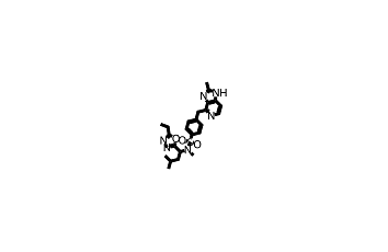 CCc1nnc(C(CC(C)C)N(C)S(=O)(=O)c2ccc(Cc3nccc4[nH]c(C)nc34)cc2)o1